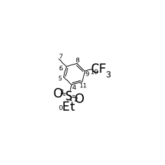 CCS(=O)(=O)c1cc(C)cc(C(F)(F)F)c1